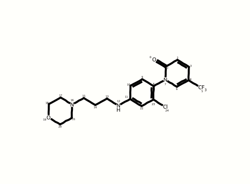 O=c1ccc(C(F)(F)F)cn1-c1ccc(NCCCN2CCOCC2)cc1Cl